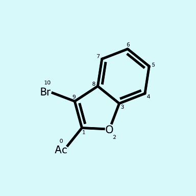 CC(=O)c1oc2ccccc2c1Br